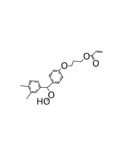 C=CC(=O)OCCCOc1ccc(C(OO)c2ccc(C)c(C)c2)cc1